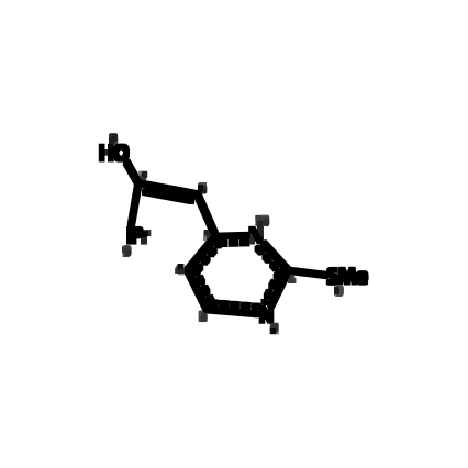 CSc1nccc(/C=C(/O)C(C)C)n1